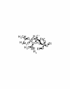 CCO[Si](CC[Si](C)(C)O[Si](C)(O[SiH](C)C)O[SiH](C)C)(OCC)OCC